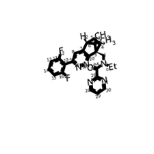 CCN(C[C@@]12CC[C@@H](c3cc(-c4c(F)cccc4F)nnc31)C2(C)C)C(=O)c1ncccn1